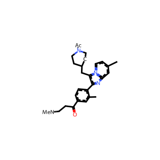 CNCCC(=O)c1ccc(-c2nc3cc(C)ccn3c2CC2CCN(C(C)=O)CC2)c(C)c1